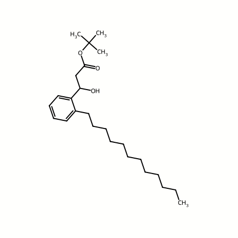 CCCCCCCCCCCCc1ccccc1C(O)CC(=O)OC(C)(C)C